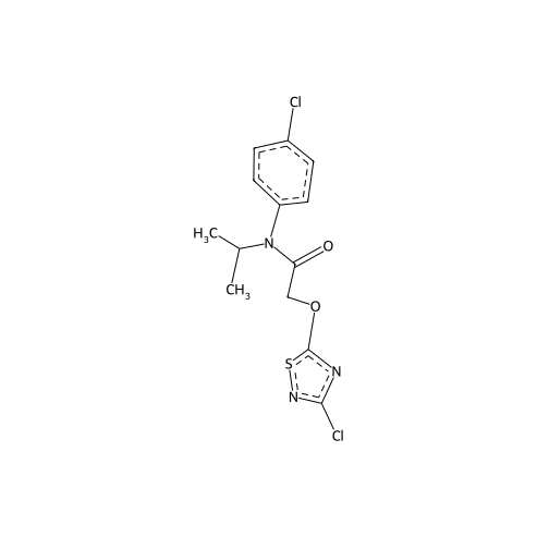 CC(C)N(C(=O)COc1nc(Cl)ns1)c1ccc(Cl)cc1